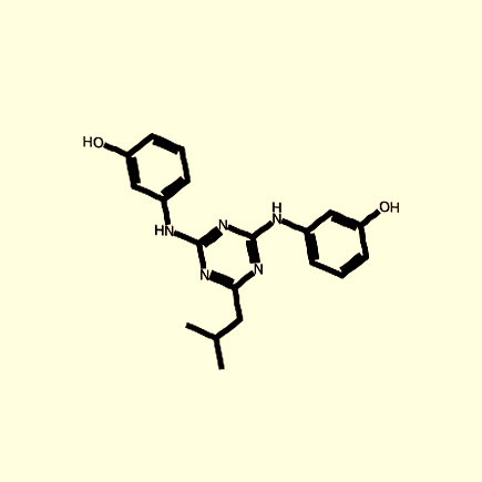 CC(C)Cc1nc(Nc2cccc(O)c2)nc(Nc2cccc(O)c2)n1